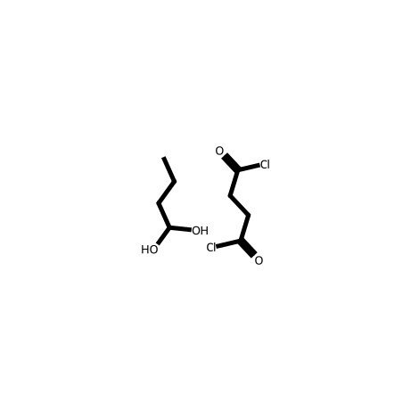 CCCC(O)O.O=C(Cl)CCC(=O)Cl